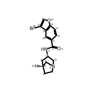 O=C(N[C@@H]1C[C@H]2CCN(C2)C1)c1ccc2occ(Br)c2c1